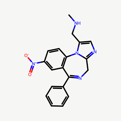 CNCc1cnc2n1-c1ccc([N+](=O)[O-])cc1C(c1ccccc1)=NC2